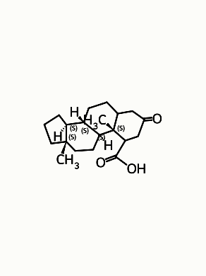 C[C@@]12CCC[C@H]1[C@@H]1CCC3CC(=O)CC(C(=O)O)[C@]3(C)[C@H]1CC2